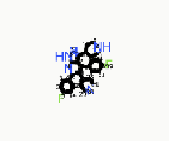 Fc1ccc(-c2nc3[nH]nc(C4CCNCC4)c3c(-c3ccc(F)cc3)c2-c2ccncc2)cc1